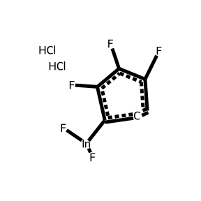 Cl.Cl.Fc1cc[c]([In]([F])[F])c(F)c1F